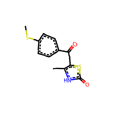 CSc1ccc(C(=O)c2sc(=O)[nH]c2C)cc1